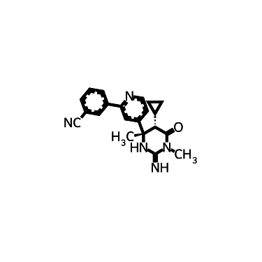 CN1C(=N)N[C@](C)(c2ccnc(-c3cccc(C#N)c3)c2)[C@H](C2CC2)C1=O